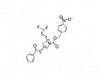 O=C(S[C@H]1C[C@@H](CSC(F)F)N(C(=O)OCc2ccc([N+](=O)[O-])cc2)C1)c1ccccc1